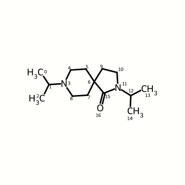 CC(C)N1CCC2(CC1)CCN(C(C)C)C2=O